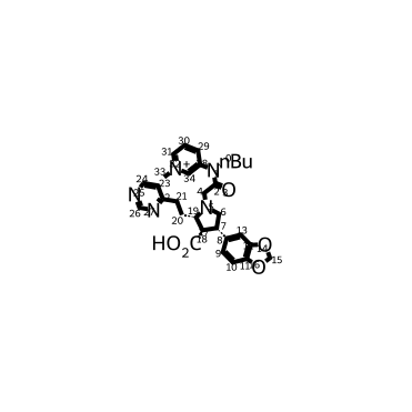 CCCCN(C(=O)CN1C[C@H](c2ccc3c(c2)OCO3)[C@@H](C(=O)O)[C@@H]1CCc1ccncn1)c1ccc[n+](C)c1